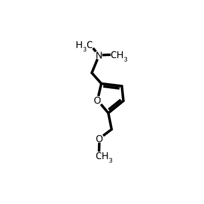 COCc1ccc(CN(C)C)o1